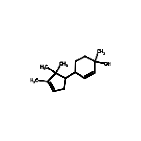 CC1=CCC(C2C=CC(C)(O)CC2)C1(C)C